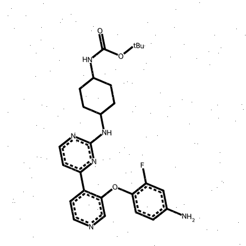 CC(C)(C)OC(=O)NC1CCC(Nc2nccc(-c3ccncc3Oc3ccc(N)cc3F)n2)CC1